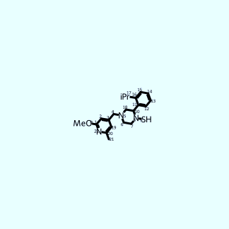 COc1cc(CN2CCN(S)C(c3ccccc3C(C)C)C2)cc(C)n1